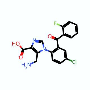 NCc1c(C(=O)O)ncn1-c1ccc(Cl)cc1C(=O)c1ccccc1F